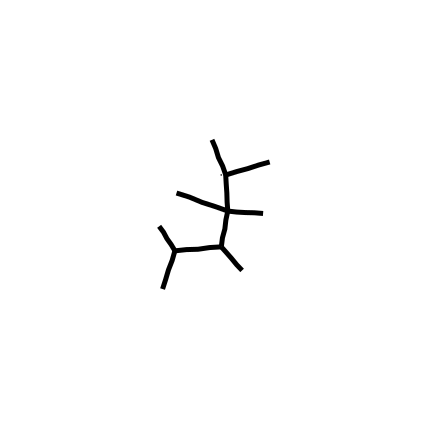 C[C](C)C(C)(C)C(C)C(C)C